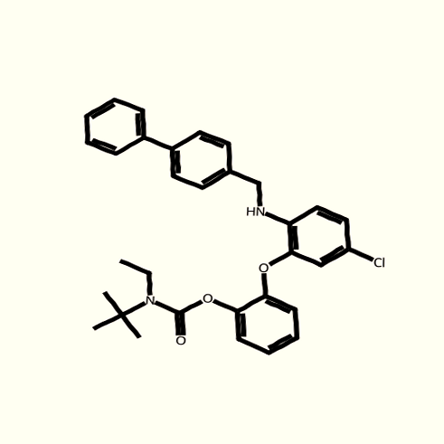 CCN(C(=O)Oc1ccccc1Oc1cc(Cl)ccc1NCc1ccc(-c2ccccc2)cc1)C(C)(C)C